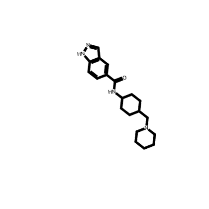 O=C(NC1CCC(CN2CCCCC2)CC1)c1ccc2[nH]ncc2c1